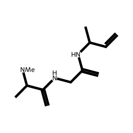 C=CC(C)NC(=C)CNC(=C)C(C)NC